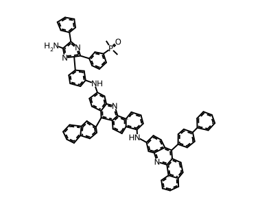 CP(C)(=O)c1cccc(-c2nc(-c3ccccc3)c(N)nc2-c2cccc(Nc3ccc4c(-c5ccc6ccccc6c5)c5ccc6c(Nc7ccc8c(-c9ccc(-c%10ccccc%10)cc9)c9ccc%10ccccc%10c9nc8c7)cccc6c5nc4c3)c2)c1